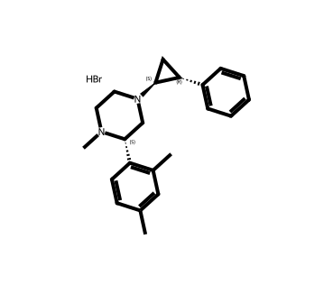 Br.Cc1ccc([C@H]2CN([C@H]3C[C@@H]3c3ccccc3)CCN2C)c(C)c1